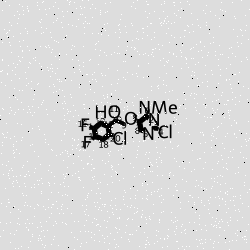 CNc1nc(Cl)ncc1OCC(O)c1cc(F)c(F)cc1Cl